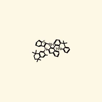 Cc1cc2c(cc1N1c3cc4ccccc4c(-c4cccc5c4Nc4ccccc4C5(C)C)c3Bc3sc4ccccc4c31)C(C)(C)CCC2(C)C